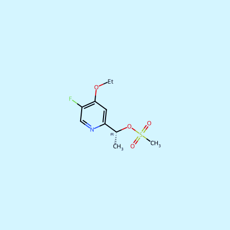 CCOc1cc([C@@H](C)OS(C)(=O)=O)ncc1F